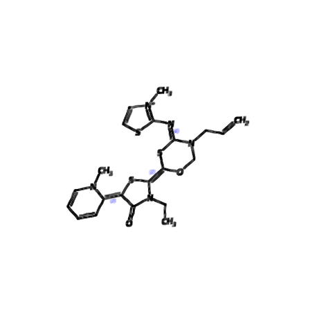 C=CCN1CO/C(=c2/s/c(=C3/C=CC=CN3C)c(=O)n2CC)S/C1=N\c1scc[n+]1C